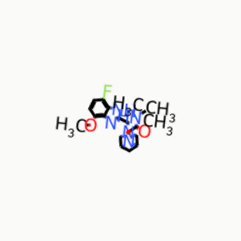 COc1ccc(F)c2[nH]c(CN3CC4CC(C3)N4CC(=O)NC(C)(C)C)nc12